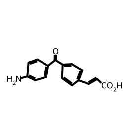 Nc1ccc(C(=O)c2ccc(/C=C/C(=O)O)cc2)cc1